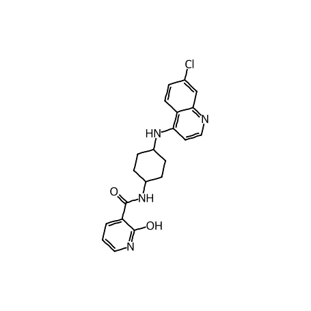 O=C(NC1CCC(Nc2ccnc3cc(Cl)ccc23)CC1)c1cccnc1O